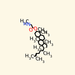 CNCC(=O)O[C@H]1CC[C@]2(C)C3=C(CCC2C1(C)C)[C@]1(C)CC[C@H]([C@H](C)CCC=C(C)C)[C@@]1(C)CC3